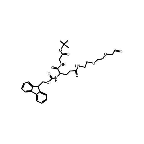 CC(C)(C)OC(=O)CNC(=O)C(CCC(=O)NCCOCCOCC=O)NC(=O)OCC1c2ccccc2-c2ccccc21